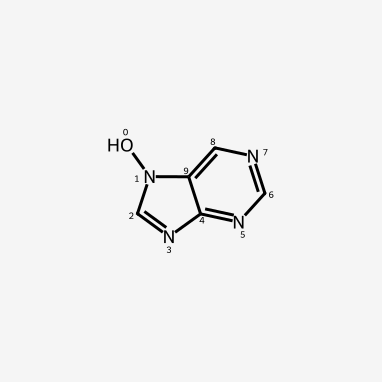 On1cnc2ncncc21